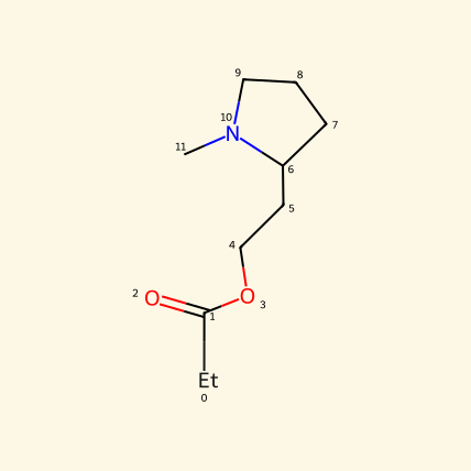 CCC(=O)OCCC1CCCN1C